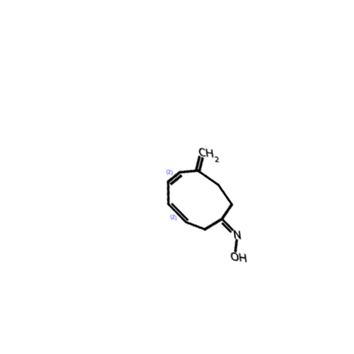 C=C1/C=C\C=C/CC(=NO)CC1